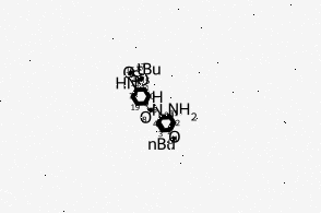 CCCCOc1ccc(NC(=O)[C@H]2CC[C@H](NS(=O)(=O)C(C)(C)C)CC2)c(N)c1